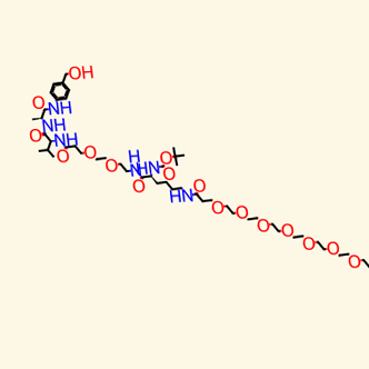 COCCOCCOCCOCCOCCOCCOCCOCCC(=O)NCCCC[C@H](NC(=O)OC(C)(C)C)C(=O)NCCOCCOCCC(=O)N[C@H](C(=O)N[C@@H](C)C(=O)Nc1ccc(CO)cc1)C(C)C